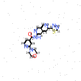 O=C(Nc1cc2cc(-c3nncs3)ncc2cn1)c1ccnc(N2CCOCC2)c1